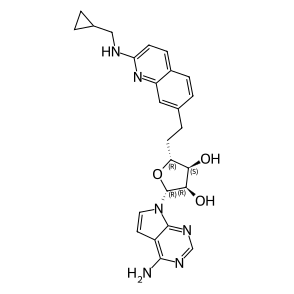 Nc1ncnc2c1ccn2[C@@H]1O[C@H](CCc2ccc3ccc(NCC4CC4)nc3c2)[C@@H](O)[C@H]1O